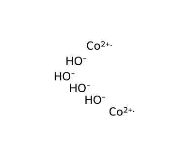 [Co+2].[Co+2].[OH-].[OH-].[OH-].[OH-]